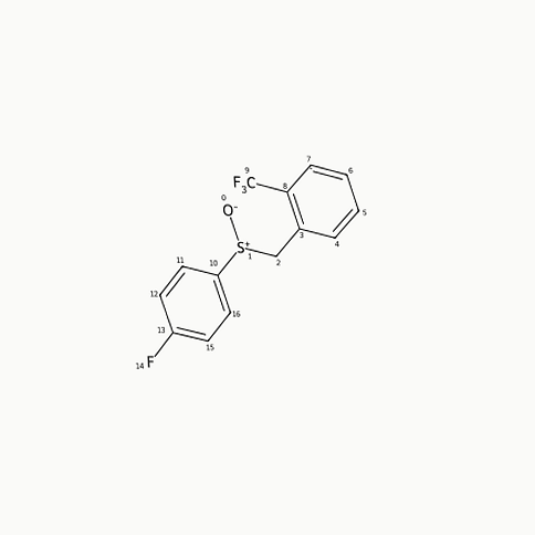 [O-][S+](Cc1ccc[c]c1C(F)(F)F)c1ccc(F)cc1